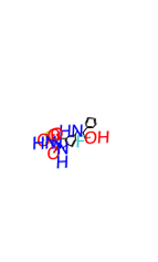 CS(=O)(=O)Nn1c(=O)[nH]c2cc(F)c(NC(CO)c3ccccc3)cc2c1=O